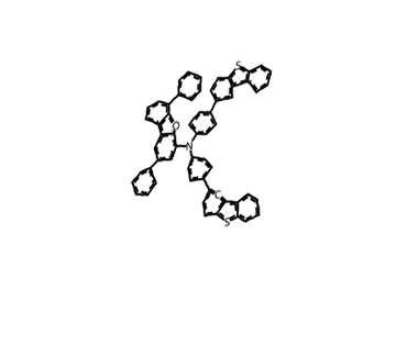 c1ccc(-c2cc(N(c3ccc(-c4ccc5sc6ccccc6c5c4)cc3)c3ccc(-c4ccc5sc6ccccc6c5c4)cc3)c3oc4c(-c5ccccc5)cccc4c3c2)cc1